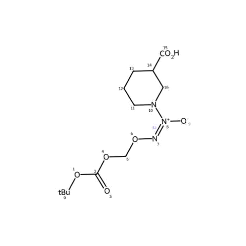 CC(C)(C)OC(=O)OCO/N=[N+](/[O-])N1CCCC(C(=O)O)C1